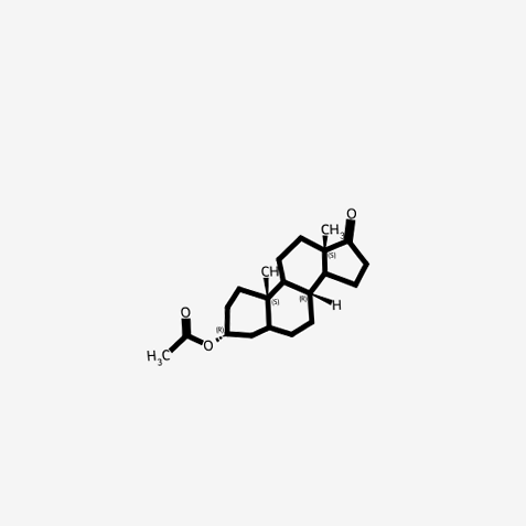 CC(=O)O[C@@H]1CC[C@@]2(C)C(CC[C@@H]3C2CC[C@]2(C)C(=O)CCC32)C1